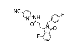 N#Cc1ccc(NC(=O)CCC2c3c(F)cccc3C(=O)N2Cc2ccc(F)cc2)nc1